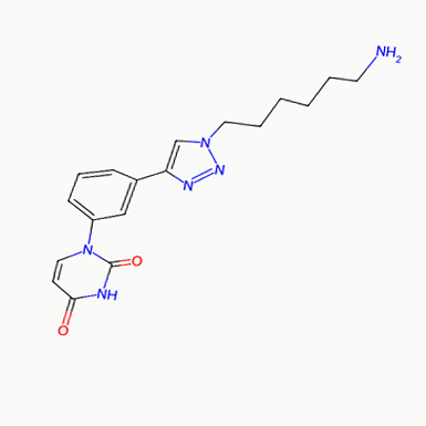 NCCCCCCn1cc(-c2cccc(-n3ccc(=O)[nH]c3=O)c2)nn1